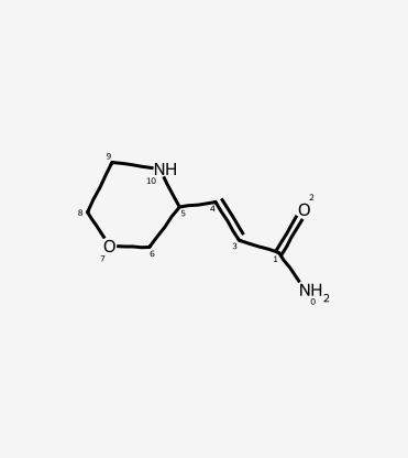 NC(=O)C=CC1COCCN1